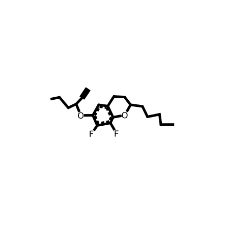 C#CC(CCC)Oc1cc2c(c(F)c1F)OC(CCCCC)CC2